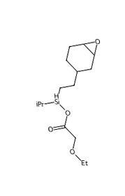 CCOCC(=O)O[SiH](CCC1CCC2OC2C1)C(C)C